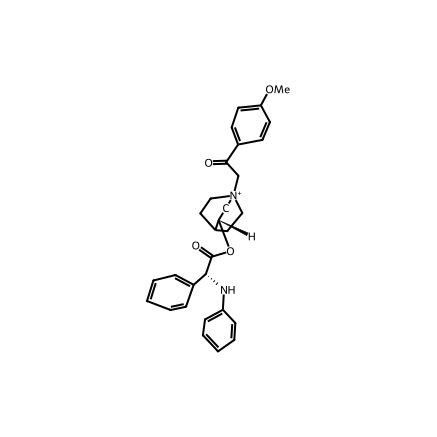 COc1ccc(C(=O)C[N+]23CCC(CC2)[C@@H](OC(=O)[C@H](Nc2ccccc2)c2ccccc2)C3)cc1